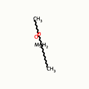 CCCCCCCCCCCCCCCCCC(=O)OCCCCCCCC.[MgH2]